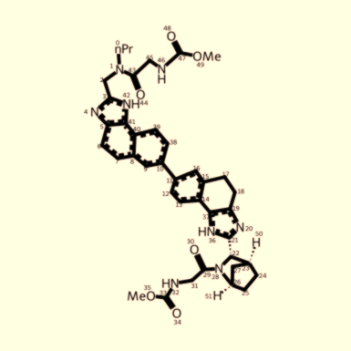 CCCN(Cc1nc2ccc3cc(-c4ccc5c(c4)CCc4nc([C@@H]6[C@H]7CC[C@H](C7)N6C(=O)CNC(=O)OC)[nH]c4-5)ccc3c2[nH]1)C(=O)CNC(=O)OC